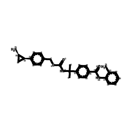 CC(C)(NC(=O)OCc1ccc([C@H]2C[C@@H]2N)cc1)c1ccc(C(=O)Nc2ccccc2N)cc1